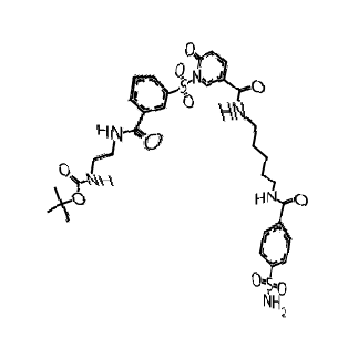 CC(C)(C)OC(=O)NCCNC(=O)c1cccc(S(=O)(=O)n2cc(C(=O)NCCCCCNC(=O)c3ccc(S(N)(=O)=O)cc3)ccc2=O)c1